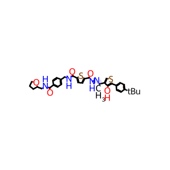 C/C(=N\NC(=O)c1ccc(C(=O)NCc2ccc(C(=O)NCC3CCCO3)cc2)s1)c1csc(-c2ccc(C(C)(C)C)cc2)c1O